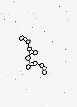 c1cc(-n2c3ccccc3c3cc(-c4ccc5c(c4)-c4ccccc4C5)ccc32)cc(-n2c3ccccc3c3cc(-c4ccc5c(c4)-c4ccccc4C5)ccc32)c1